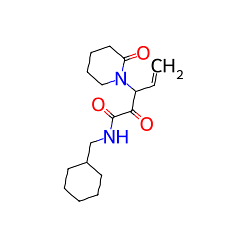 C=CC(C(=O)C(=O)NCC1CCCCC1)N1CCCCC1=O